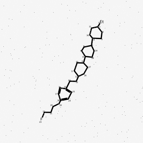 CCC1CCC(C2CCC(C3CCC(CCc4ccc(CCCCF)cc4)CC3)CC2)CC1